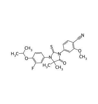 COc1cc(N2C(=O)C(C)(C)N(c3ccc(OC(C)C)c(F)c3)C2=S)ccc1C#N